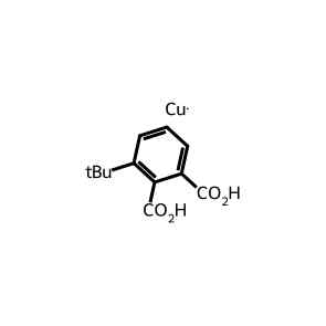 CC(C)(C)c1cccc(C(=O)O)c1C(=O)O.[Cu]